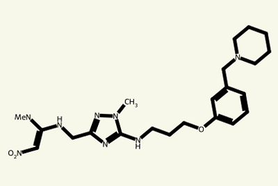 CNC(=C[N+](=O)[O-])NCc1nc(NCCCOc2cccc(CN3CCCCC3)c2)n(C)n1